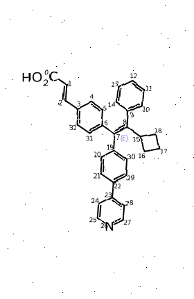 O=C(O)C=Cc1ccc(/C(=C(\c2ccccc2)C2CCC2)c2ccc(-c3ccncc3)cc2)cc1